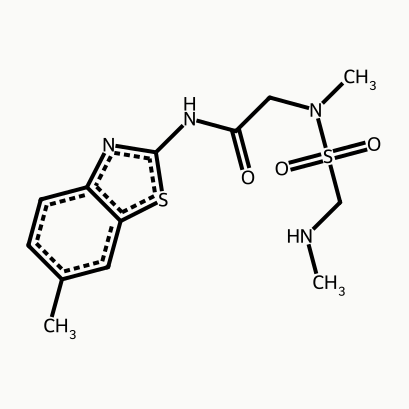 CNCS(=O)(=O)N(C)CC(=O)Nc1nc2ccc(C)cc2s1